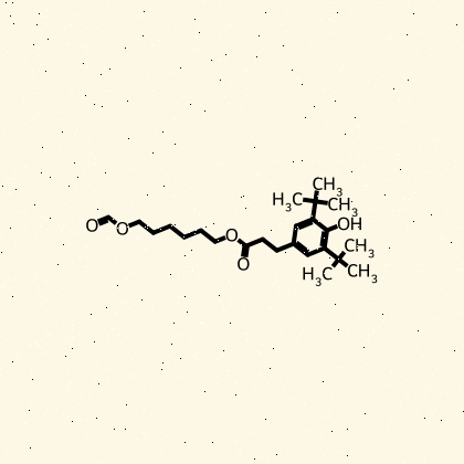 CC(C)(C)c1cc(CCC(=O)OCCCCCCOC=O)cc(C(C)(C)C)c1O